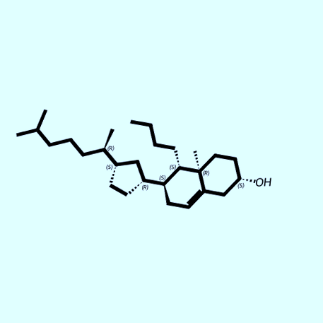 CCCC[C@H]1[C@H]([C@@H]2CC[C@H]([C@H](C)CCCC(C)C)C2)CC=C2C[C@@H](O)CC[C@@]21C